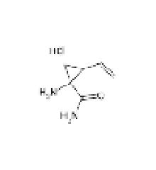 C=CC1CC1(N)C(N)=O.Cl